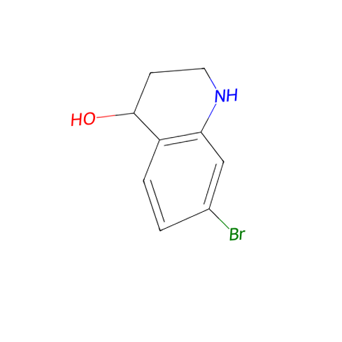 OC1CCNc2cc(Br)ccc21